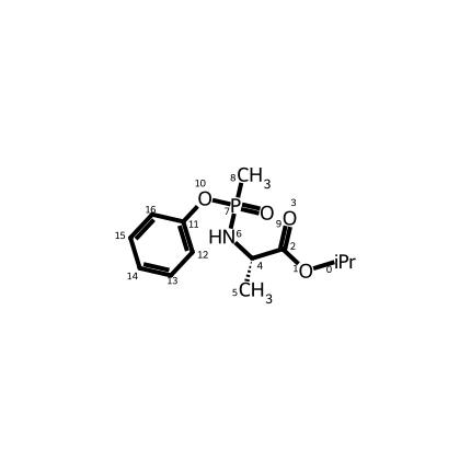 CC(C)OC(=O)[C@H](C)NP(C)(=O)Oc1ccccc1